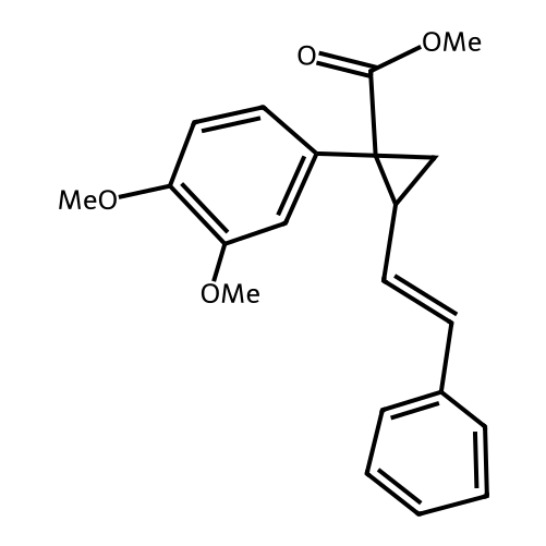 COC(=O)C1(c2ccc(OC)c(OC)c2)CC1C=Cc1ccccc1